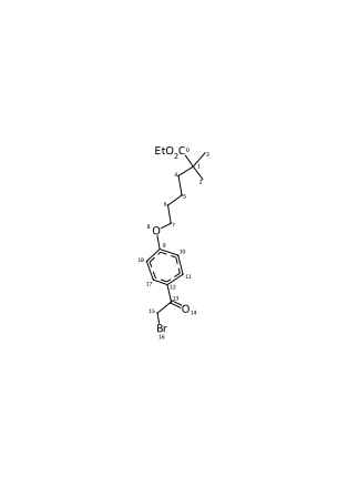 CCOC(=O)C(C)(C)CCCCOc1ccc(C(=O)CBr)cc1